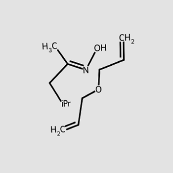 C=CCOCC=C.CC(CC(C)C)=NO